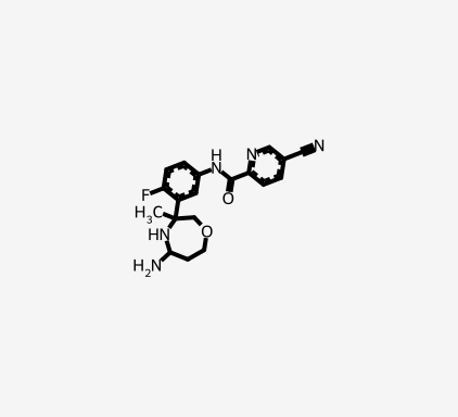 CC1(c2cc(NC(=O)c3ccc(C#N)cn3)ccc2F)COCCC(N)N1